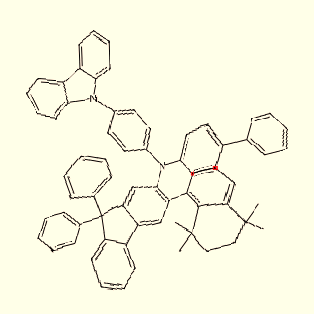 CC1(C)CCC(C)(C)c2c(-c3cc4c(cc3N(c3ccc(-c5ccccc5)cc3)c3ccc(-n5c6ccccc6c6ccccc65)cc3)C(c3ccccc3)(c3ccccc3)c3ccccc3-4)cccc21